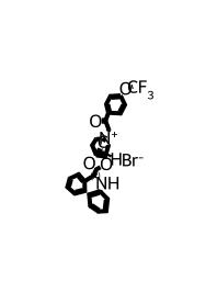 O=C(C[N+]12CCC(CC1)[C@@H](OC(=O)[C@H](Nc1ccccc1)c1ccccc1)C2)c1ccc(OC(F)(F)F)cc1.[Br-]